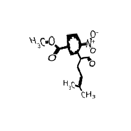 COC(=O)c1ccc([N+](=O)[O-])c(C(C=O)CC=C(C)C)c1